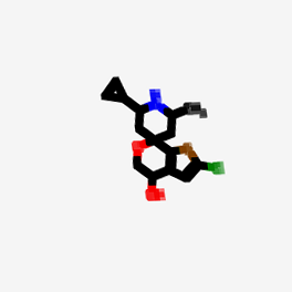 CC1CC2(CC(C3CC3)N1)OCC(O)c1cc(Cl)sc12